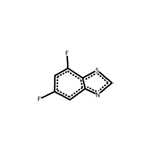 Fc1cc(F)c2s[c]nc2c1